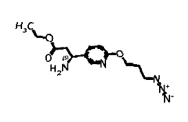 CCOC(=O)C[C@H](N)c1ccc(OCCCN=[N+]=[N-])nc1